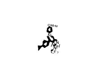 COc1ccc(N2C=C(c3ccc(C4CC4)cc3)c3nc(NCC(F)(F)F)ncc3C2)cc1